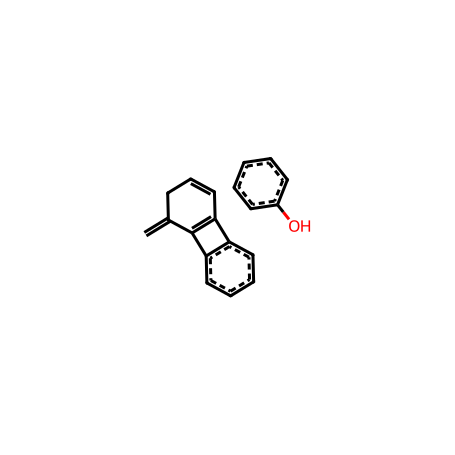 C=C1CC=CC2=C1c1ccccc12.Oc1ccccc1